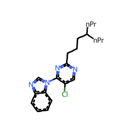 CCCC(CCC)CCCc1ncc(Cl)c(-n2cnc3ccccc32)n1